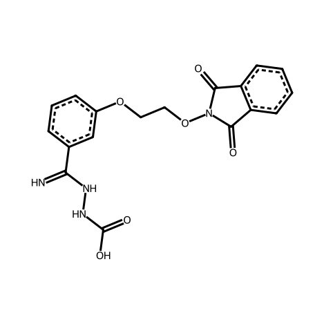 N=C(NNC(=O)O)c1cccc(OCCON2C(=O)c3ccccc3C2=O)c1